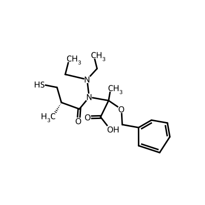 CCN(CC)N(C(=O)[C@H](C)CS)C(C)(OCc1ccccc1)C(=O)O